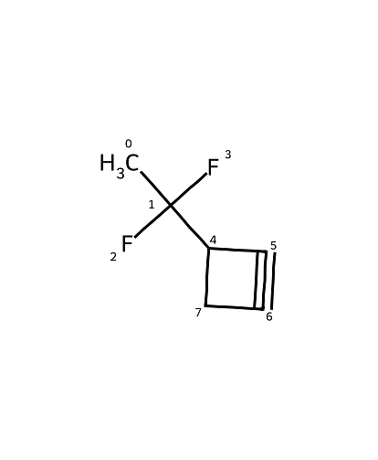 CC(F)(F)C1C#CC1